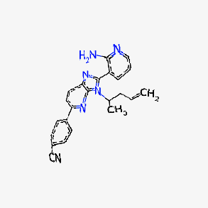 C=CCC(C)n1c(-c2cccnc2N)nc2ccc(-c3ccc(C#N)cc3)nc21